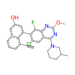 C#Cc1cccc2cc(O)cc(-c3c(Cl)cc4c(N5CCCC(C)C5)nc(OC)nc4c3F)c12